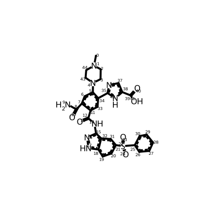 CN1CCN(c2cc(C(N)=O)c(C(=O)Nc3n[nH]c4ccc(S(=O)(=O)c5ccccc5)cc34)cc2-c2ncc(C(=O)O)[nH]2)CC1